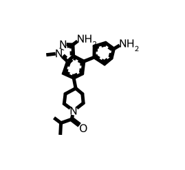 CC(C)C(=O)N1CCC(c2cc(-c3ccc(N)cc3)c3c(N)nn(C)c3c2)CC1